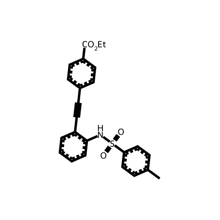 CCOC(=O)c1ccc(C#Cc2ccccc2NS(=O)(=O)c2ccc(C)cc2)cc1